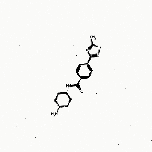 Cc1nc(-c2ccc(C(=O)N[C@H]3CC[C@H](N)CC3)cc2)no1